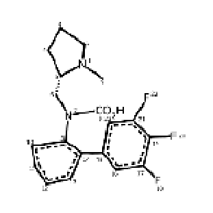 CN1CCC[C@H]1CN(C(=O)O)c1ccccc1-c1cc(F)c(F)c(F)c1